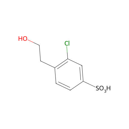 O=S(=O)(O)c1ccc(CCO)c(Cl)c1